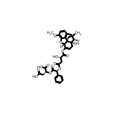 COc1ccc2c3c1O[C@H]1C(OC(=O)[C@@H](O)CC(=O)O[C@H](C(=O)O[C@@H](CC(=O)O)C(=O)O)c4ccccc4)=CC[C@@]4(O)[C@@H](C2)N(C)CC[C@]314